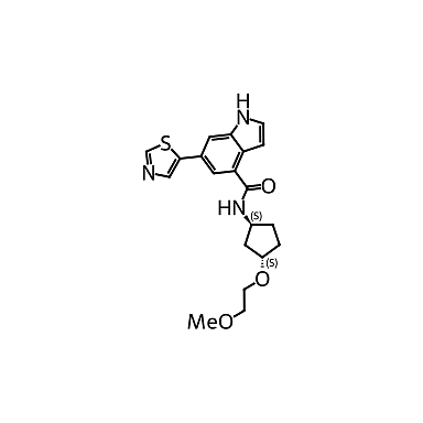 COCCO[C@H]1CC[C@H](NC(=O)c2cc(-c3cncs3)cc3[nH]ccc23)C1